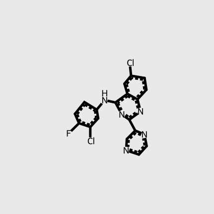 Fc1ccc(Nc2nc(-c3cnccn3)nc3ccc(Cl)cc23)cc1Cl